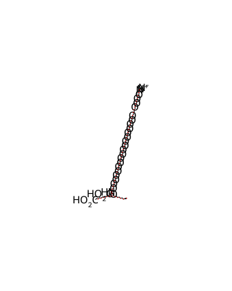 C#CCCCCCCCCCC(CCCCCCCCCCC(=O)O)(C(=O)O)C(=O)NCCOCCOCCOCCOCCOCCOCCOCCOCCOCCOCCOCCOCCOCCOCCOCCOCCOCCOCCCCCOCCOCCOCCOCCN=[N+]=[N-]